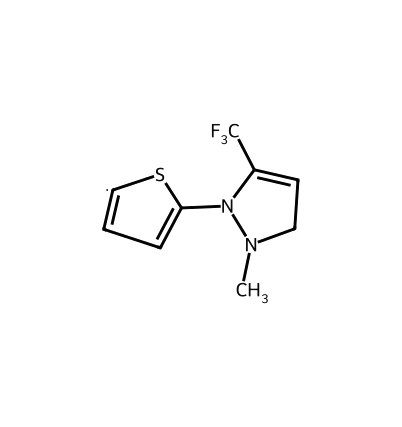 CN1CC=C(C(F)(F)F)N1c1cc[c]s1